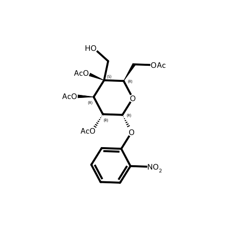 CC(=O)OC[C@H]1O[C@H](Oc2ccccc2[N+](=O)[O-])[C@H](OC(C)=O)[C@@H](OC(C)=O)[C@@]1(CO)OC(C)=O